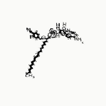 CCCCCCCCCCCCCCCCCCC[C@H](COP(=O)(O)OC[C@H]1O[C@@](C#N)(c2ccc3c(N)ncnn23)[C@H](O)[C@@H]1O)OCc1ccc(C#N)c(F)c1